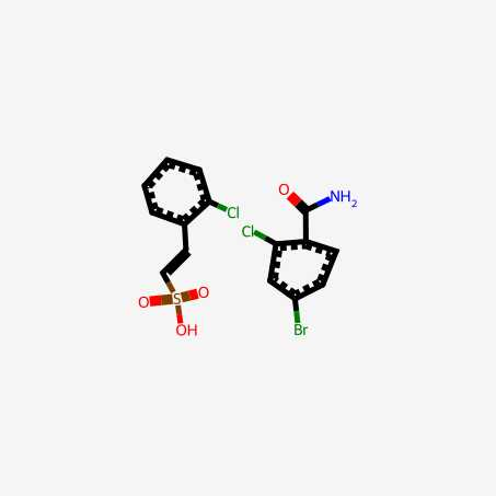 NC(=O)c1ccc(Br)cc1Cl.O=S(=O)(O)C=Cc1ccccc1Cl